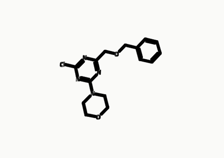 Clc1nc(COCc2ccccc2)nc(N2CCOCC2)n1